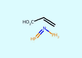 C=CC(=O)O.P=NP